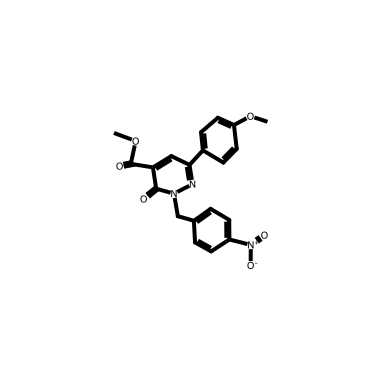 COC(=O)c1cc(-c2ccc(OC)cc2)nn(Cc2ccc([N+](=O)[O-])cc2)c1=O